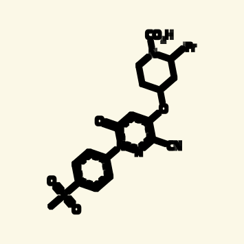 CC(C)C1CC(Oc2cc(=O)n(-c3ccc(S(C)(=O)=O)cc3)nc2C#N)CCN1C(=O)O